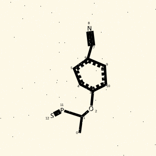 CC(Oc1ccc(C#N)cc1)P=S